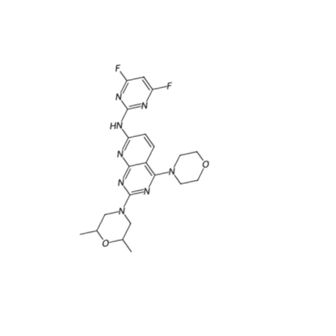 CC1CN(c2nc(N3CCOCC3)c3ccc(Nc4nc(F)cc(F)n4)nc3n2)CC(C)O1